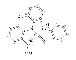 O=C(O)Cc1ccccc1N(c1c(Cl)cccc1Cl)P(=O)(O)Oc1ccccc1